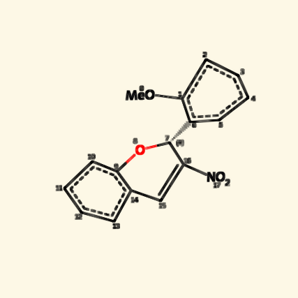 COc1ccccc1[C@H]1Oc2ccccc2C=C1[N+](=O)[O-]